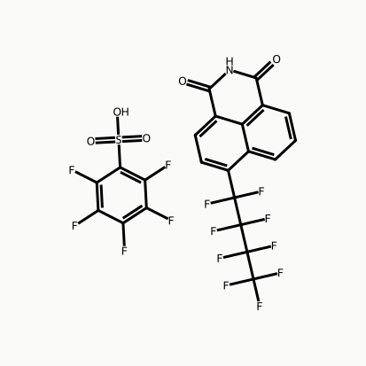 O=C1NC(=O)c2ccc(C(F)(F)C(F)(F)C(F)(F)C(F)(F)F)c3cccc1c23.O=S(=O)(O)c1c(F)c(F)c(F)c(F)c1F